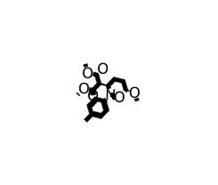 COC(=O)C(C(=O)OC)[C@H]1CC[C@H](OC)ON1c1ccc(C)cc1